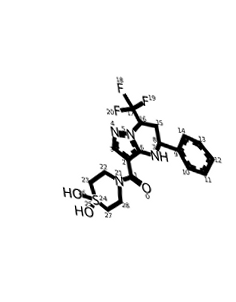 O=C(c1cnn2c1NC(c1ccccc1)CC2C(F)(F)F)N1CCS(O)(O)CC1